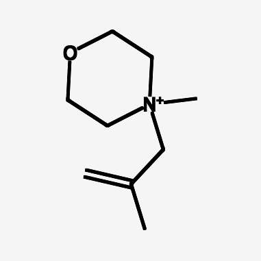 C=C(C)C[N+]1(C)CCOCC1